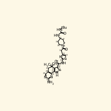 CC(C)(C)NC(=O)NC1CCN(C(=O)Cc2csc(NC(=O)c3n[nH]c4c3C(C)(C)Cc3cnc(N)nc3-4)n2)CC1